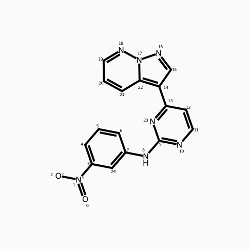 O=[N+]([O-])c1cccc(Nc2nccc(-c3cnn4ncccc34)n2)c1